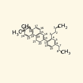 C=CCCc1cc(CCC)ccc1C1=Cc2ccc3c(c2CC1)C=CC(C)(C)C3